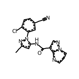 Cc1cc(NC(=O)c2cnn3cccnc23)n(-c2cc(C#N)ccc2Cl)n1